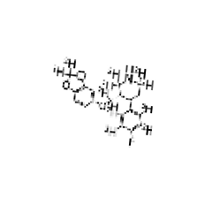 [2H]c1c([2H])c(C2CC([2H])([2H])NC([2H])([2H])[C@H]2C([2H])([2H])Oc2ccc3c(c2)OC([2H])([2H])O3)c([2H])c([2H])c1F